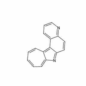 c1ccc2nc3ccc4ncccc4c3c-2cc1